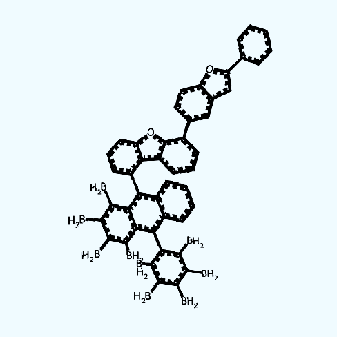 Bc1c(B)c(B)c(-c2c3ccccc3c(-c3cccc4oc5c(-c6ccc7oc(-c8ccccc8)cc7c6)cccc5c34)c3c(B)c(B)c(B)c(B)c23)c(B)c1B